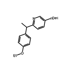 CCCCCCCCCCc1ccc(C(C)c2ccc(OCC)cc2)nc1